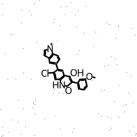 COc1cccc(-c2c(O)c3cc(-c4ccc5c(ccn5C)c4)c(Cl)cc3[nH]c2=O)c1